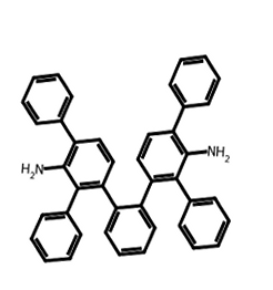 Nc1c(-c2ccccc2)ccc(-c2ccccc2-c2ccc(-c3ccccc3)c(N)c2-c2ccccc2)c1-c1ccccc1